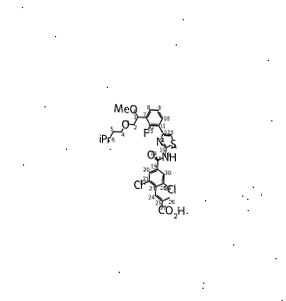 COC(COCCC(C)C)c1cccc(-c2csc(NC(=O)c3cc(Cl)c(C=C(C)C(=O)O)c(Cl)c3)n2)c1F